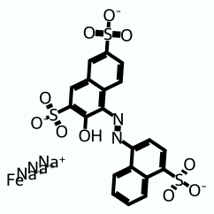 O=S(=O)([O-])c1ccc2c(/N=N/c3ccc(S(=O)(=O)[O-])c4ccccc34)c(O)c(S(=O)(=O)[O-])cc2c1.[Fe].[Na+].[Na+].[Na+]